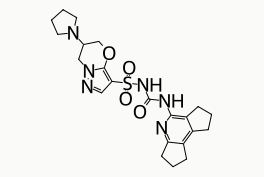 O=C(Nc1nc2c(c3c1CCC3)CCC2)NS(=O)(=O)c1cnn2c1OCC(N1CCCC1)C2